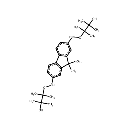 CCCCCCCCC1(C)c2cc(BOC(C)(C)C(C)(C)O)ccc2-c2ccc(BOC(C)(C)C(C)(C)O)cc21